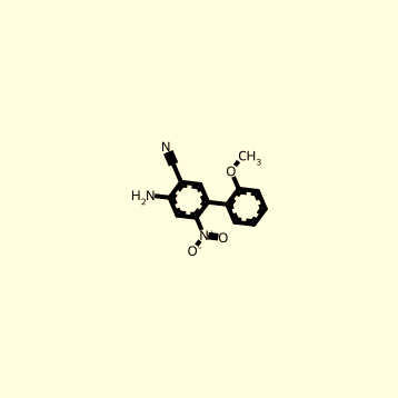 COc1ccccc1-c1cc(C#N)c(N)cc1[N+](=O)[O-]